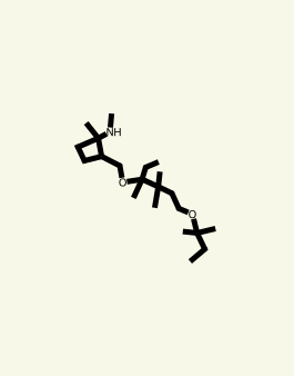 CCC(C)(C)OCCC(C)(C)C(C)(CC)OCC1CCC1(C)NC